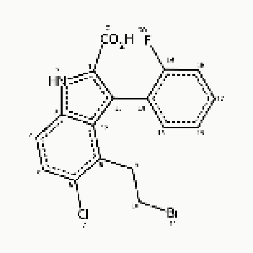 O=C(O)c1[nH]c2ccc(Cl)c(CCBr)c2c1-c1ccccc1F